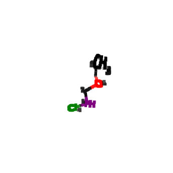 COCPCl